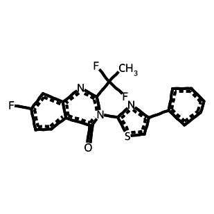 CC(F)(F)c1nc2cc(F)ccc2c(=O)n1-c1nc(-c2ccccc2)cs1